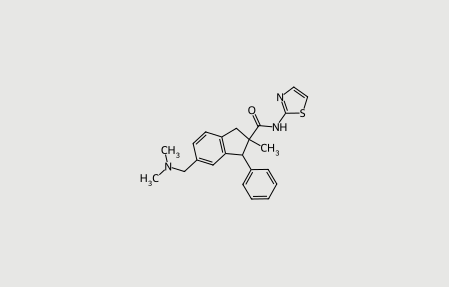 CN(C)Cc1ccc2c(c1)C(c1ccccc1)C(C)(C(=O)Nc1nccs1)C2